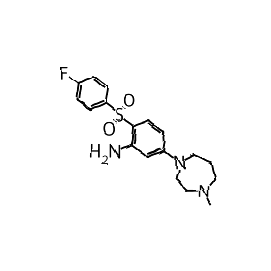 CN1CCCN(c2ccc(S(=O)(=O)c3ccc(F)cc3)c(N)c2)CC1